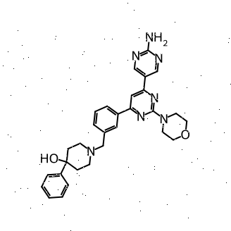 Nc1ncc(-c2cc(-c3cccc(CN4CCC(O)(c5ccccc5)CC4)c3)nc(N3CCOCC3)n2)cn1